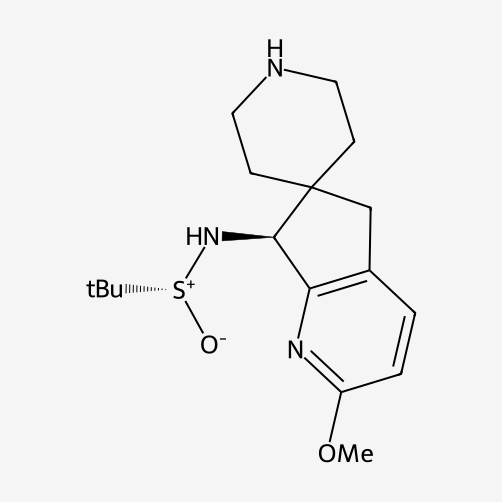 COc1ccc2c(n1)[C@@H](N[S@+]([O-])C(C)(C)C)C1(CCNCC1)C2